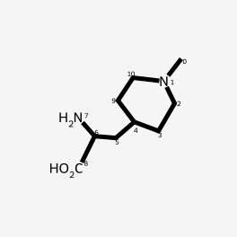 CN1CCC(CC(N)C(=O)O)CC1